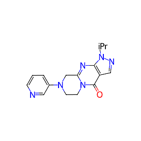 CC(C)n1ncc2c(=O)n3c(nc21)CN(c1cccnc1)CC3